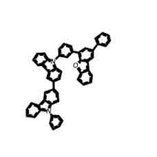 c1ccc(-c2cc(-c3cccc(-n4c5ccccc5c5cc(-c6ccc7c(c6)c6ccccc6n7-c6ccccc6)ccc54)c3)c3oc4ccccc4c3c2)cc1